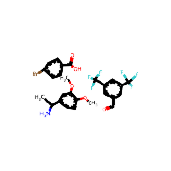 COc1ccc(C(C)N)cc1OC.O=C(O)c1ccc(Br)cc1.O=Cc1cc(C(F)(F)F)cc(C(F)(F)F)c1